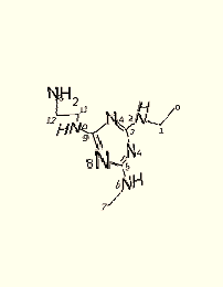 CCNc1nc(NC)nc(NCCN)n1